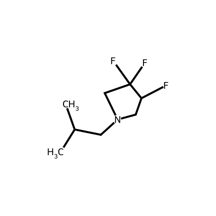 CC(C)CN1CC(F)C(F)(F)C1